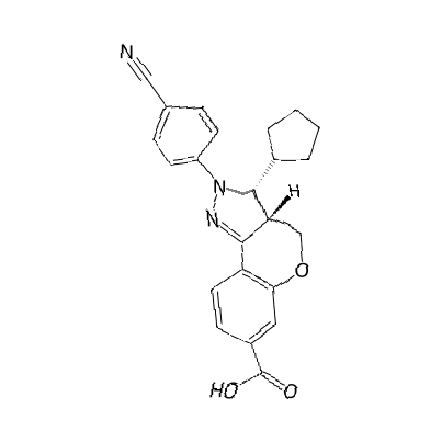 N#Cc1ccc(N2N=C3c4ccc(C(=O)O)cc4OC[C@H]3[C@H]2C2CCCC2)cc1